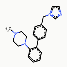 CN1CCN(c2ccccc2-c2ccc(Cn3ccnc3)cc2)CC1